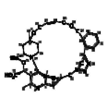 Cc1nc2cc3nn2c(c1[C@H](OC(C)(C)C)C(=O)O)N1CCC(C)(CC1)OCC=CCOCc1ccccc1-c1cn(nn1)C3